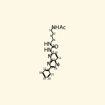 CC(=O)NCCCCNC(=O)Nc1ccc2ncc(-c3ccccc3)nc2n1